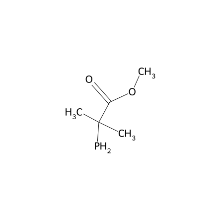 COC(=O)C(C)(C)P